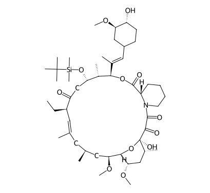 CC[C@@H]1/C=C(\C)C[C@H](C)C[C@H](OC)[C@H]2O[C@@](O)(C(=O)C(=O)N3CCCC[C@H]3C(=O)O[C@H](/C(C)=C/C3CC[C@@H](O)[C@H](OC)C3)[C@@H](C)[C@@H](O[Si](C)(C)C(C)(C)C)CC1=O)[C@H](C)C[C@@H]2OC